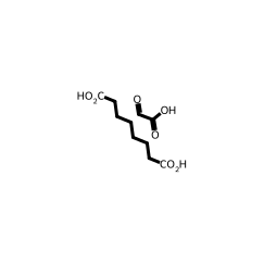 O=C(O)CCCCCCC(=O)O.O=CC(=O)O